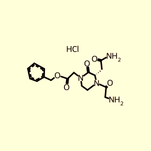 Cl.NCC(=O)N1CCN(CC(=O)OCc2ccccc2)C(=O)[C@@H]1CC(N)=O